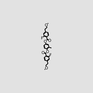 COCCc1ccc(C(=O)Oc2ccc(OC(=O)c3ccc(CCOC)cc3F)c(C)c2)c(F)c1